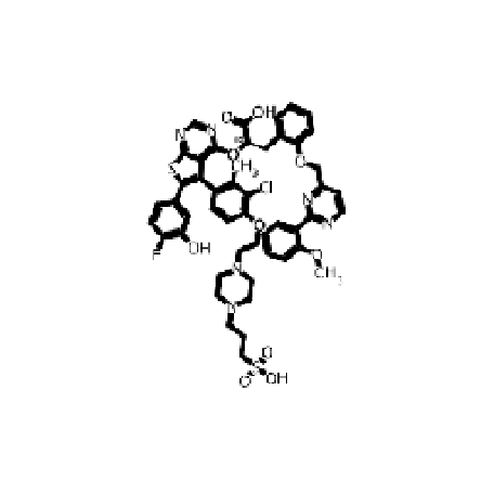 COc1ccccc1-c1nccc(COc2ccccc2C[C@@H](Oc2ncnc3sc(-c4ccc(F)c(O)c4)c(-c4ccc(OCCN5CCN(CCCS(=O)(=O)O)CC5)c(Cl)c4C)c23)C(=O)O)n1